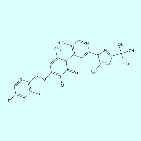 Cc1cnc(-n2nc(C(C)(C)O)cc2C)cc1-n1c(C)cc(OCc2ncc(F)cc2F)c(Cl)c1=O